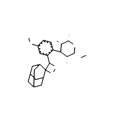 COc1ccc([C@@]2(O)[C@@H](O)[C@H](O)O[C@H](CO)[C@@H]2O)c(C2OOC23C2CC4CC(C2)CC3C4)c1